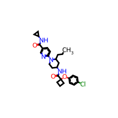 CCCC1CC(NC(=O)C2(Oc3ccc(Cl)cc3)CCC2)CCN1c1ccc(C(=O)NC2CC2)cn1